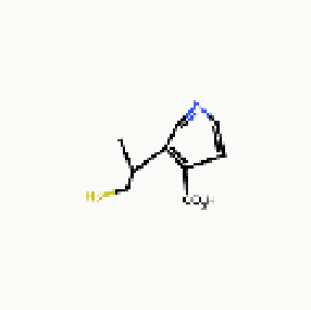 CC(CS)c1cnccc1C(=O)O